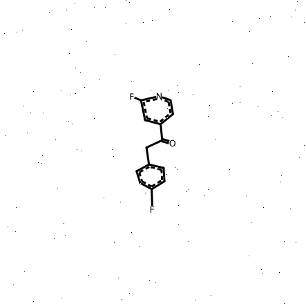 O=C(Cc1ccc(F)cc1)c1ccnc(F)c1